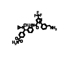 CN(C1CC1)C(c1ccc(S(N)(=O)=O)cc1)c1cccc(NC(=O)c2cc(C(F)(F)F)nn2-c2cccc(CN)c2)c1